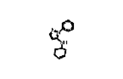 C1=CCC(Nc2ccnn2-c2ccccc2)CC1